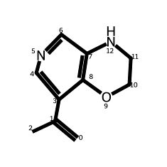 C=C(C)c1cncc2c1OCCN2